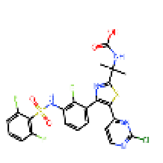 CC(C)(NC(=O)O)c1nc(-c2cccc(NS(=O)(=O)c3c(F)cccc3F)c2F)c(-c2ccnc(Cl)n2)s1